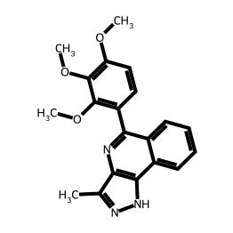 COc1ccc(-c2nc3c(C)n[nH]c3c3ccccc23)c(OC)c1OC